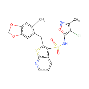 Cc1cc2c(cc1Cc1sc3ncccc3c1S(=O)(=O)Nc1onc(C)c1Cl)OCO2